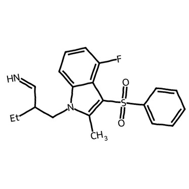 CCC(C=N)Cn1c(C)c(S(=O)(=O)c2ccccc2)c2c(F)cccc21